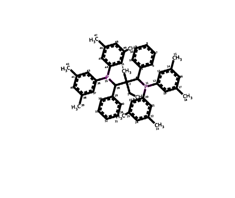 CCC(C)(C(c1ccccc1)P(c1cc(C)cc(C)c1)c1cc(C)cc(C)c1)C(c1ccccc1)P(c1cc(C)cc(C)c1)c1cc(C)cc(C)c1